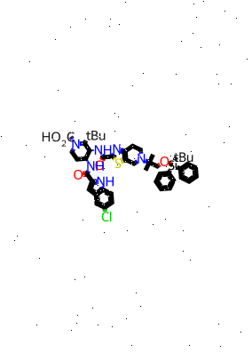 CC(C)(C)C1[C@H](NC(=O)c2nc3c(s2)CN(C(C)(C)CO[Si](c2ccccc2)(c2ccccc2)C(C)(C)C)CC3)[C@@H](NC(=O)c2cc3cc(Cl)ccc3[nH]2)CCN1C(=O)O